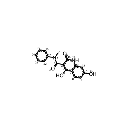 CN(C(=O)c1c(O)c2ccc(O)cc2[nH]c1=O)c1ccccc1